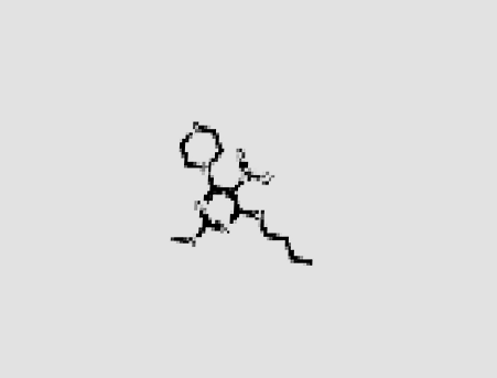 CCCCOc1nc(SC)nc(N2CCSCC2)c1[N+](=O)[O-]